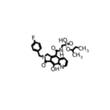 CCC(C)OP(=O)(O)CNC(=O)c1c2c(c(O)c3ncccc13)C(=O)N(Cc1ccc(F)cc1)C2